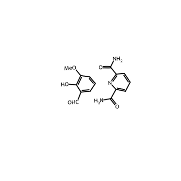 COc1cccc(C=O)c1O.NC(=O)c1cccc(C(N)=O)n1